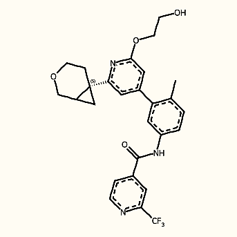 Cc1ccc(NC(=O)c2ccnc(C(F)(F)F)c2)cc1-c1cc(OCCO)nc([C@@]23CCOCC2C3)c1